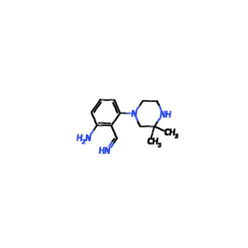 CC1(C)CN(c2cccc(N)c2C=N)CCN1